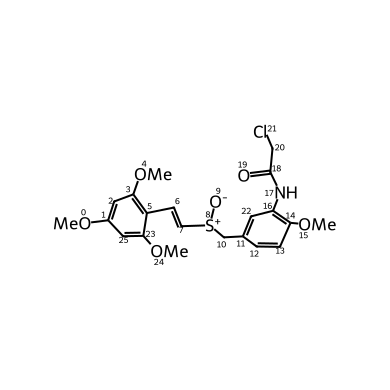 COc1cc(OC)c(C=C[S+]([O-])Cc2ccc(OC)c(NC(=O)CCl)c2)c(OC)c1